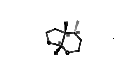 C[C@@H]1CCO[C@@H]2OCC[C@@H]21